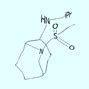 CC(C)NC1CC2CCC1N2S(C)(=O)=O